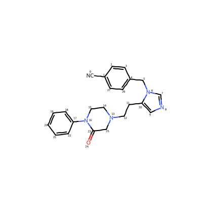 N#Cc1ccc(Cn2cncc2CCN2CCN(c3ccccc3)C(=O)C2)cc1